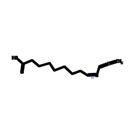 C=C=C/N=C\CCCCCCCC(=O)O